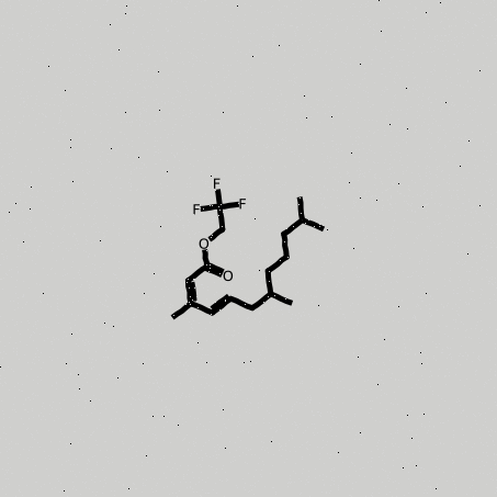 CC(C=CCC(C)CCCC(C)C)=CC(=O)OCC(F)(F)F